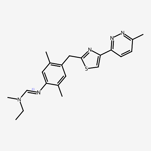 CCN(C)/C=N/c1cc(C)c(Cc2nc(-c3ccc(C)nn3)cs2)cc1C